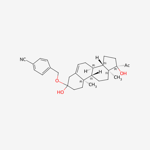 CC(=O)[C@@]1(O)CC[C@H]2[C@@H]3CC=C4CC(O)(OCc5ccc(C#N)cc5)CC[C@]4(C)[C@H]3CC[C@@]21C